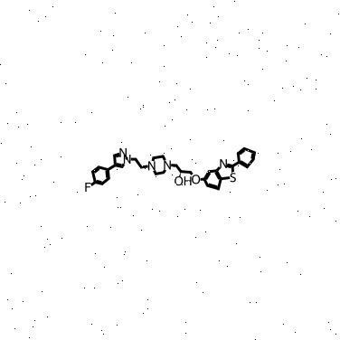 O[C@@H](COc1ccc2sc(-c3ccccc3)nc2c1)CN1CCN(CCn2cc(-c3ccc(F)cc3)cn2)CC1